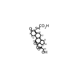 C[C@]12CCC(=O)C(SCC(=O)O)=C1CCC1C3CC[C@H](C(=O)CO)[C@@]34CC(O[C@@H]4O)C12